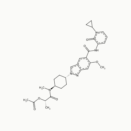 COc1cc2nn([C@H]3CC[C@H](N(C)C(=O)[C@H](C)OC(C)=O)CC3)cc2cc1C(=O)Nc1cccn(C2CC2)c1=O